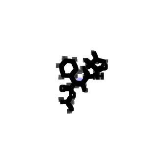 C/C(C1=NC(C)(C(C)C)C(=O)N1)=C(\C(=O)OC(C)C)C1CCCCC1